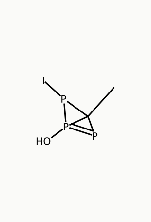 CC12P=P1(O)P2I